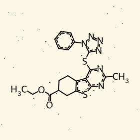 CCOC(=O)C1CCc2c(sc3nc(C)nc(Sc4nnnn4-c4ccccc4)c23)C1